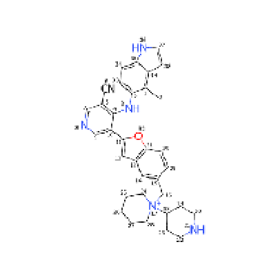 Cc1c(Nc2c(C#N)cncc2-c2cc3cc(C[N+]4(C5CCNCC5)CCCCC4)ccc3o2)ccc2[nH]ccc12